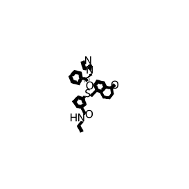 C=CCNC(=O)c1cccc(SCc2c(O[C@H](Cn3ccnc3)c3ccccc3)ccc3c2CCCC3=O)c1